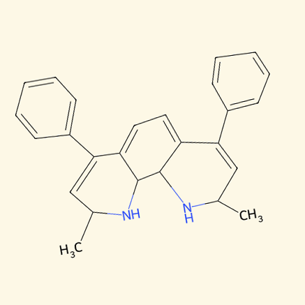 CC1C=C(c2ccccc2)C2=CC=C3C(c4ccccc4)=CC(C)NC3C2N1